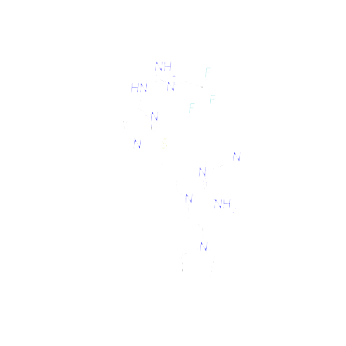 CCN(CC)CCN(CCCSc1nccc(NC(N)=NCC(F)(F)F)n1)C(N)=NC#N